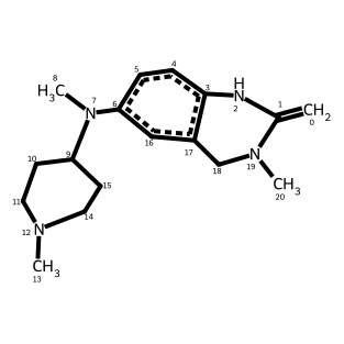 C=C1Nc2ccc(N(C)C3CCN(C)CC3)cc2CN1C